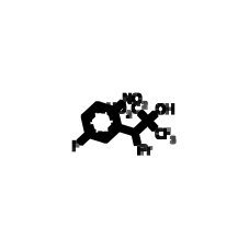 CC(C)C(c1cc(F)ccc1[N+](=O)[O-])C(O)(C(=O)O)C(F)(F)F